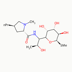 CCC[C@@H]1C[C@@H](C(=O)NC(C2O[C@H](SC)[C@H](O)[C@@H](O)[C@H]2O)[C@H](C)O)N(C)C1